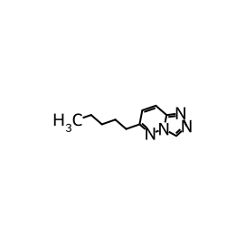 CCCCCc1ccc2nncn2n1